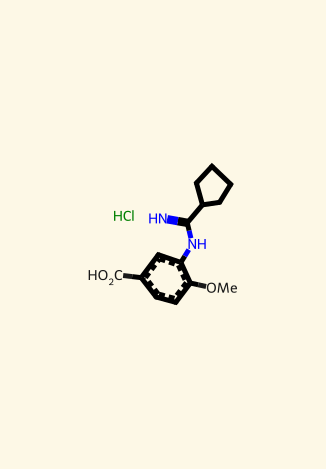 COc1ccc(C(=O)O)cc1NC(=N)C1CCCC1.Cl